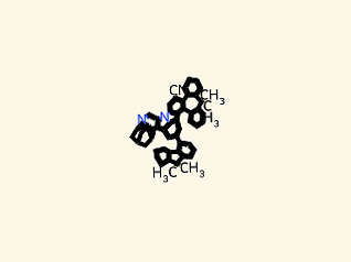 CC1(C)c2ccccc2-c2c(C#N)cc3c(c2-c2ccccc21)c1cc(-c2cccc4c2-c2ccccc2C4(C)C)cc2c4c5c(ncc4n3c12)C1CC2CC(C1)CC5C2